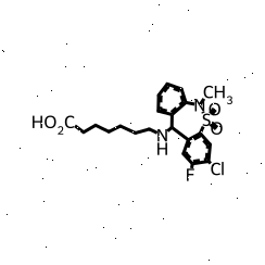 CN1c2ccccc2C(NCCCCCCC(=O)O)c2cc(F)c(Cl)cc2S1(=O)=O